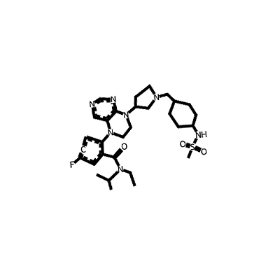 CCN(C(=O)c1cc(F)ccc1N1CCN(C2CCN(CC3CCC(NS(C)(=O)=O)CC3)C2)c2ncncc21)C(C)C